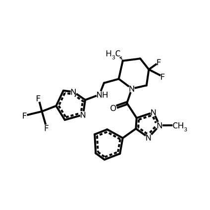 C[C@@H]1CC(F)(F)CN(C(=O)c2nn(C)nc2-c2ccccc2)C1CNc1ncc(C(F)(F)F)cn1